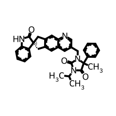 CC(C)N1C(=O)N(Cc2cnc3cc4c(cc3c2)C[C@@]2(C4)C(=O)Nc3ccccc32)C(C)(c2ccccc2)C1=O